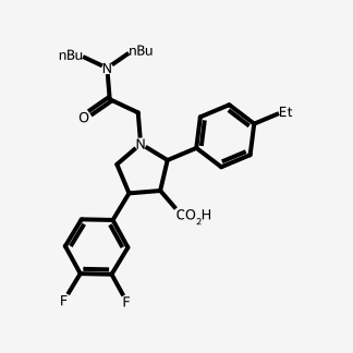 CCCCN(CCCC)C(=O)CN1CC(c2ccc(F)c(F)c2)C(C(=O)O)C1c1ccc(CC)cc1